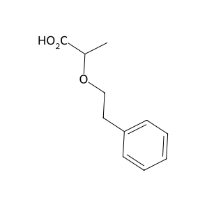 CC(OCCc1ccccc1)C(=O)O